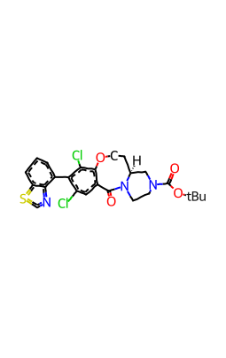 CC(C)(C)OC(=O)N1CCN2C(=O)c3cc(Cl)c(-c4cccc5scnc45)c(Cl)c3OCC[C@H]2C1